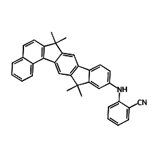 CC1(C)c2cc(Nc3ccccc3C#N)ccc2-c2cc3c(cc21)-c1c(ccc2ccccc12)C3(C)C